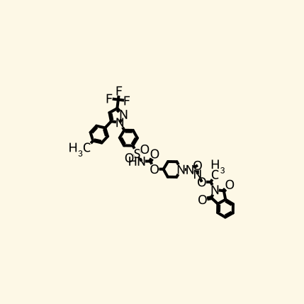 Cc1ccc(-c2cc(C(F)(F)F)nn2-c2ccc(S(=O)(=O)NC(=O)OC3CCN(n4on4OC(C)N4C(=O)c5ccccc5C4=O)CC3)cc2)cc1